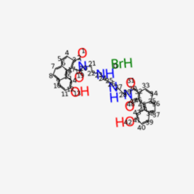 Br.O=C1c2ccc3ccc4ccc(O)cc4c3c2C(=O)N1CCNCCNCCN1C(=O)c2ccc3ccc4ccc(O)cc4c3c2C1=O